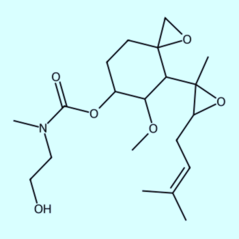 COC1C(OC(=O)N(C)CCO)CCC2(CO2)C1C1(C)OC1CC=C(C)C